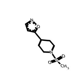 CS(=O)(=O)N1CCC(c2ccno2)CC1